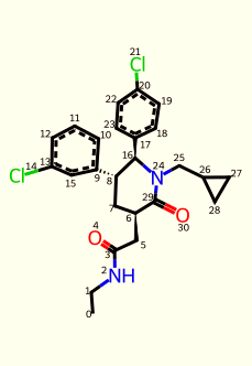 CCNC(=O)C[C@H]1C[C@H](c2cccc(Cl)c2)[C@@H](c2ccc(Cl)cc2)N(CC2CC2)C1=O